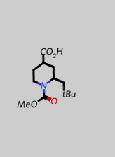 COC(=O)N1CCC(C(=O)O)CC1CC(C)(C)C